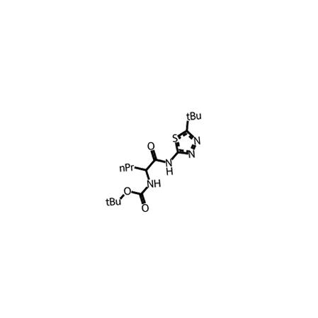 CCCC(NC(=O)OC(C)(C)C)C(=O)Nc1nnc(C(C)(C)C)s1